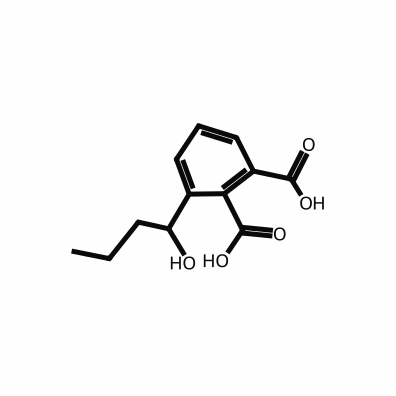 CCCC(O)c1cccc(C(=O)O)c1C(=O)O